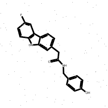 O=C(Cc1ccc2c(c1)[nH]c1ccc(F)cc12)NCc1ccc(O)cc1